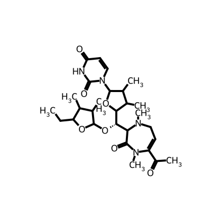 CCC1OC(O[C@H](C2OC(n3ccc(=O)[nH]c3=O)C(C)C2C)C2C(=O)N(C)C(C(C)=O)=CCN2C)C(C)C1C